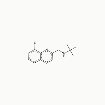 CC(C)(C)NCc1ccc2cccc(Cl)c2n1